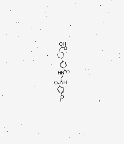 CCOc1ccc(C(=O)NCCNC(=O)c2ccc([C@H]3CC[C@H](CC(=O)O)CC3)cc2)cc1